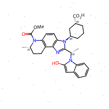 COC(=O)N1c2ccc3c(nc([C@H](C)n4c(O)cc5ccccc54)n3[C@@H]3CCC[C@@H](C(=O)O)C3)c2CC[C@@H]1C